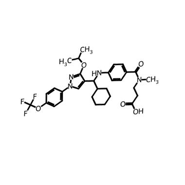 CC(C)Oc1nn(-c2ccc(OC(F)(F)F)cc2)cc1C(Nc1ccc(C(=O)N(C)CCC(=O)O)cc1)C1CCCCC1